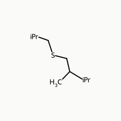 CC(C)CSCC(C)C(C)C